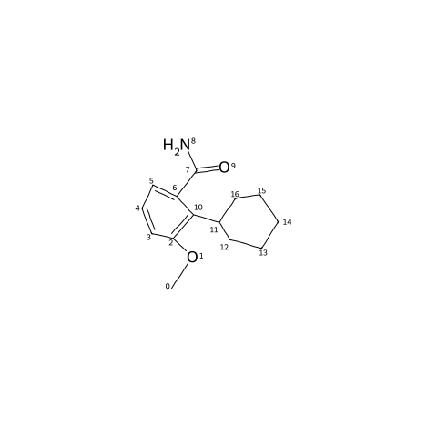 COc1cccc(C(N)=O)c1C1CCCCC1